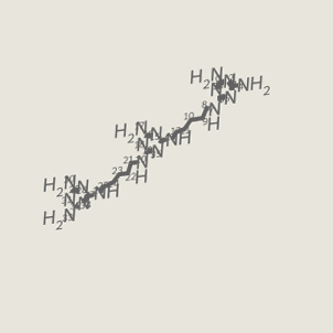 Nc1nc(N)nc(NCCCCCNc2nc(N)nc(NCCCCCNc3nc(N)nc(N)n3)n2)n1